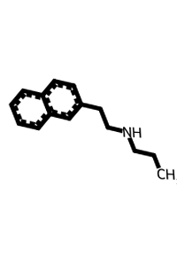 CCCNCCc1ccc2ccccc2c1